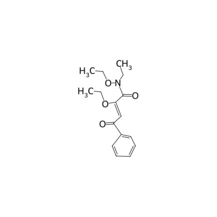 CCOC(=CC(=O)c1ccccc1)C(=O)N(CC)OCC